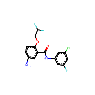 Nc1ccc(OCC(F)F)c(C(=O)Nc2cc(F)cc(Cl)c2)c1